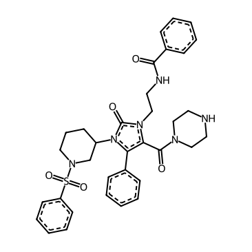 O=C(NCCn1c(C(=O)N2CCNCC2)c(-c2ccccc2)n(C2CCCN(S(=O)(=O)c3ccccc3)C2)c1=O)c1ccccc1